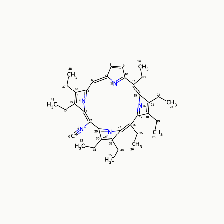 [C-]#[N+]C1=C2N=C(C=C3C=CC(=N3)C(CC)=C3N=C(C(CC)=C3CC)C(CC)=C3N=C1C(CC)=C3CC)C(CC)=C2CC